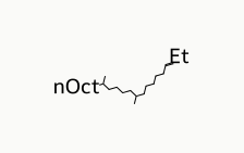 [CH2]C/C=C/CCCCCC(C)CCCCC(C)CCCCCCC[CH2]